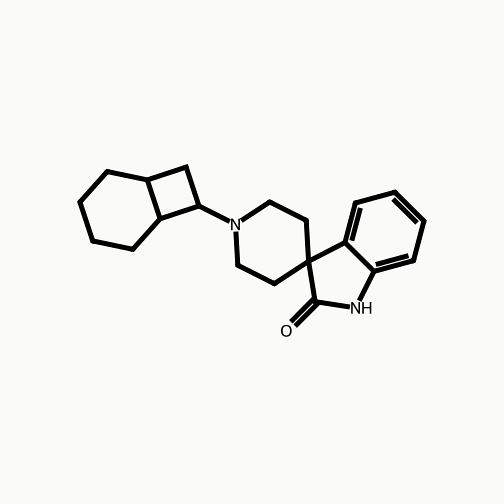 O=C1Nc2ccccc2C12CCN(C1CC3CCCCC31)CC2